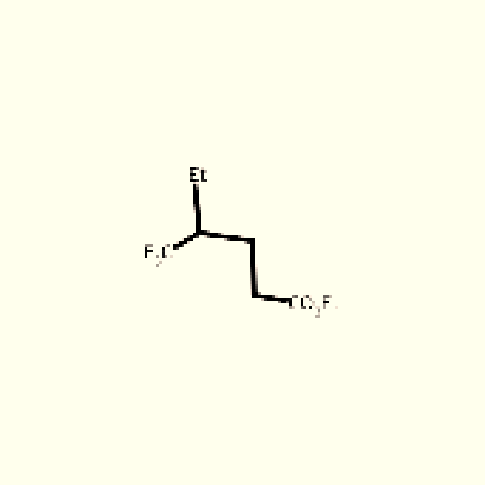 CCOC(=O)CCC(CC)C(F)(F)F